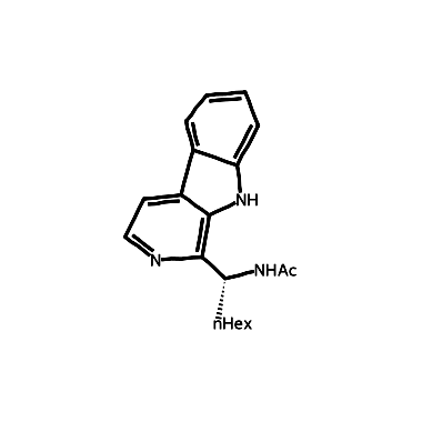 CCCCCC[C@@H](NC(C)=O)c1nccc2c1[nH]c1ccccc12